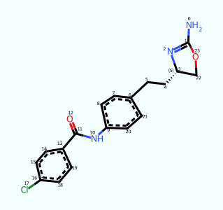 NC1=N[C@@H](CCc2ccc(NC(=O)c3ccc(Cl)cc3)cc2)CO1